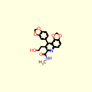 CNC(=O)c1nc2ccc3c(c2c(-c2ccc4c(c2)OCO4)c1CCO)OCO3